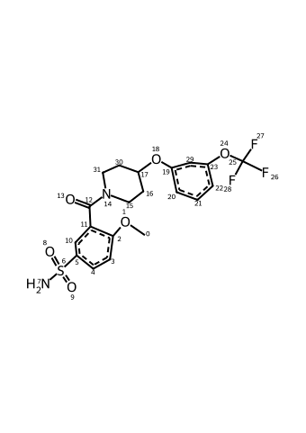 COc1ccc(S(N)(=O)=O)cc1C(=O)N1CCC(Oc2cccc(OC(F)(F)F)c2)CC1